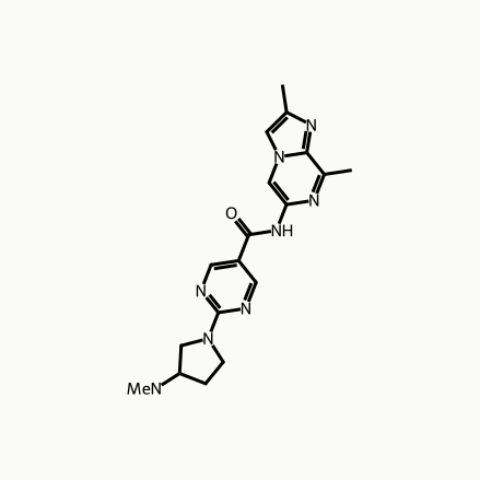 CNC1CCN(c2ncc(C(=O)Nc3cn4cc(C)nc4c(C)n3)cn2)C1